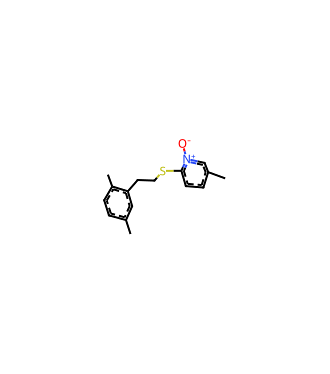 Cc1ccc(C)c(CCSc2ccc(C)c[n+]2[O-])c1